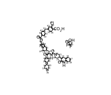 Cc1cc(C[C@@H](NC(=O)N2CCC(c3cc4ccccc4[nH]c3=O)CC2)C(=O)N2CCN(C3CCN(C)CC3)CC2)cc2cn(COC(=O)c3ccc(Cc4ccc(C(=O)O)c(CCl)c4)cc3)nc12.O=C(O)C(F)(F)F